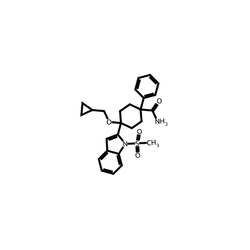 CS(=O)(=O)n1c(C2(OCC3CC3)CCC(C(N)=O)(c3ccccc3)CC2)cc2ccccc21